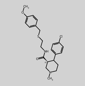 COc1ccc(CSCCNC(=O)[C@@H]2CN(C)CCC2c2ccc(Cl)cc2)cc1